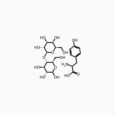 NC(Cc1ccc(O)cc1)C(=O)O.OC[C@H]1O[C@@H](O[C@H]2[C@H](O)[C@@H](O)C(O)O[C@@H]2CO)[C@H](O)[C@@H](O)[C@H]1O